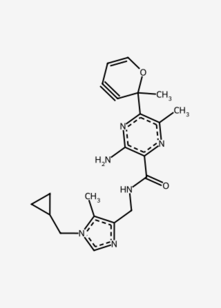 Cc1nc(C(=O)NCc2ncn(CC3CC3)c2C)c(N)nc1C1(C)C#CC=CO1